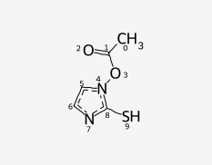 CC(=O)On1ccnc1S